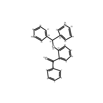 O=C(c1ccccc1)c1ccccc1OC(c1cccnc1)c1cccnc1